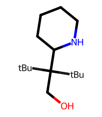 CC(C)(C)C(CO)(C1CCCCN1)C(C)(C)C